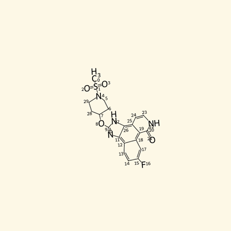 CS(=O)(=O)N1CCC(Oc2nc3c4ccc(F)cc4c4c(=O)[nH]ccc4c3[nH]2)CC1